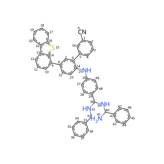 N#Cc1cccc(-c2cc(-c3cccc4c3sc3ccccc34)ccc2Nc2ccc(C(NCc3ccccc3)NC(N)c3ccccc3)cc2)c1